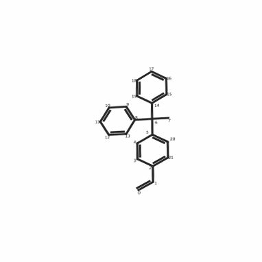 C=Cc1ccc(C(C)(c2ccccc2)c2ccccc2)cc1